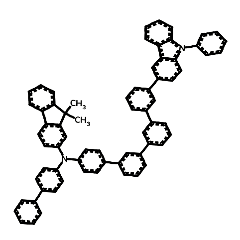 CC1(C)c2ccccc2-c2ccc(N(c3ccc(-c4ccccc4)cc3)c3ccc(-c4cccc(-c5cccc(-c6cccc(-c7ccc8c(c7)c7ccccc7n8-c7ccccc7)c6)c5)c4)cc3)cc21